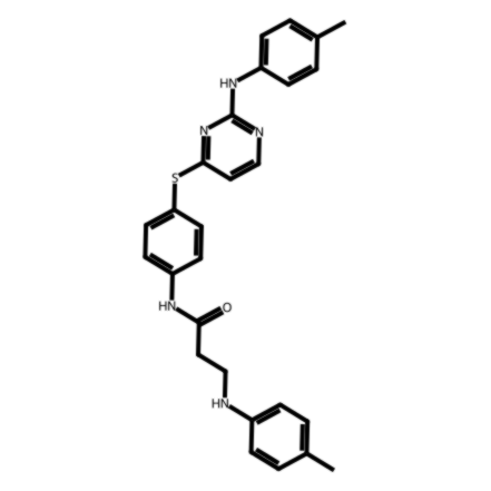 Cc1ccc(NCCC(=O)Nc2ccc(Sc3ccnc(Nc4ccc(C)cc4)n3)cc2)cc1